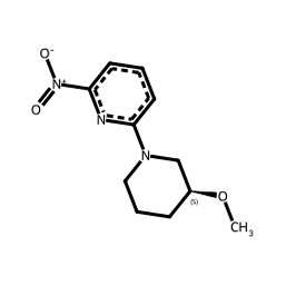 CO[C@H]1CCCN(c2cccc([N+](=O)[O-])n2)C1